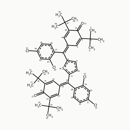 CC(C)(C)C1=CC(=C(c2ccc(C(=C3C=C(C(C)(C)C)C(=O)C(C(C)(C)C)=C3)c3ccc(Cl)cc3Cl)s2)c2ccc(Cl)cc2Cl)C=C(C(C)(C)C)C1=O